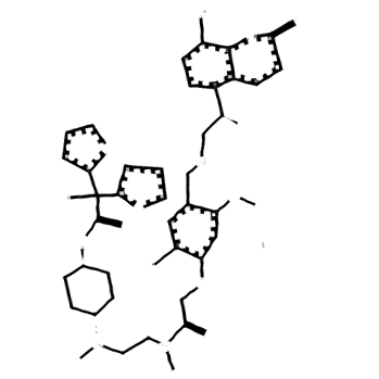 COc1cc(OCC(=O)N(C)CCN(C)[C@H]2CC[C@H](OC(=O)C(O)(c3cccs3)c3cccs3)CC2)c(Cl)cc1CNC[C@H](O)c1ccc(O)c2[nH]c(=O)ccc12.F.F